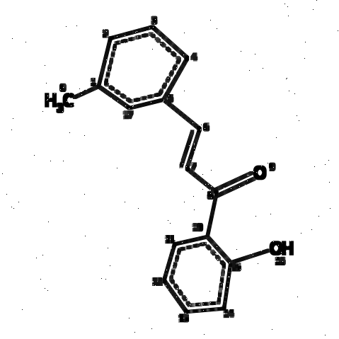 Cc1cccc(C=CC(=O)c2ccccc2O)c1